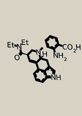 CCN(CC)C(=O)[C@@H]1C=C2c3cccc4[nH]cc(c34)C[C@H]2N(C)C1.Nc1ccccc1C(=O)O